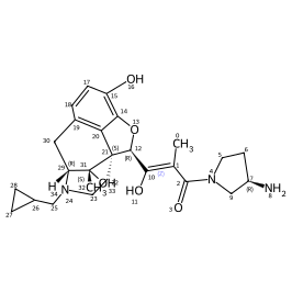 C/C(C(=O)N1CC[C@@H](N)C1)=C(/O)[C@@H]1Oc2c(O)ccc3c2[C@@]12CCN(CC1CC1)[C@H](C3)[C@@]2(C)O